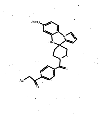 COc1ccc2c(c1)NC1(CCN(C(=O)c3ccc(C(=O)CC(C)=O)cc3)CC1)c1cccn1-2